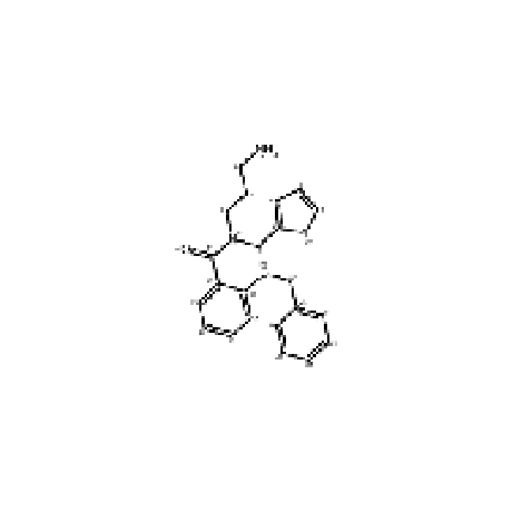 NCCCN(Cc1cccs1)C(=O)c1ccccc1OCc1ccccc1